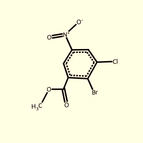 COC(=O)c1cc([N+](=O)[O-])cc(Cl)c1Br